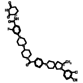 C[C@@H]1CC2(CCN(c3ccc(C(=O)N4CCC(N5CCN(c6ccc(C(=O)N[C@H]7CCC(=O)NC7=O)c(F)c6)CC5)CC4)cc3)CC2)CN1c1ccc(C#N)c(Cl)c1